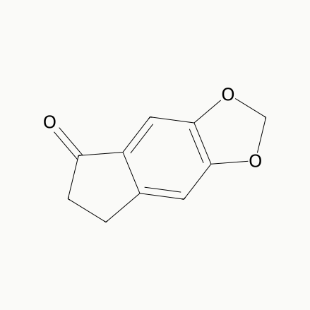 O=C1CCc2cc3c(cc21)OCO3